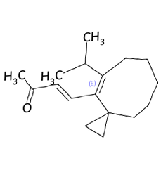 CC(=O)C=C/C1=C(\C(C)C)CCCCCC12CC2